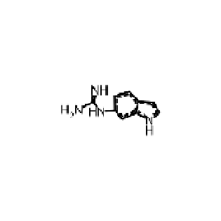 N=C(N)Nc1ccc2cc[nH]c2c1